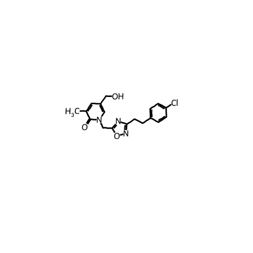 Cc1cc(CO)cn(Cc2nc(CCc3ccc(Cl)cc3)no2)c1=O